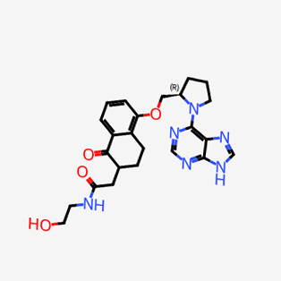 O=C(CC1CCc2c(OC[C@H]3CCCN3c3ncnc4[nH]cnc34)cccc2C1=O)NCCO